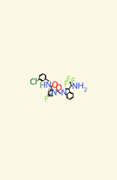 NC(c1cn(CC(=O)N2C[C@H](F)C[C@H]2C(=O)NCc2cccc(Cl)c2F)c2ccccc12)C(F)(F)F